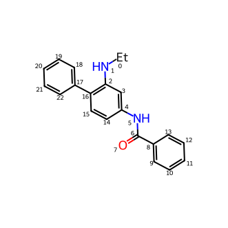 CCNc1cc(NC(=O)c2ccccc2)ccc1-c1ccccc1